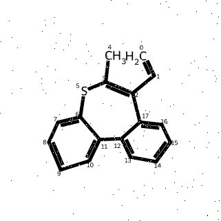 C=CC1=C(C)Sc2ccccc2-c2ccccc21